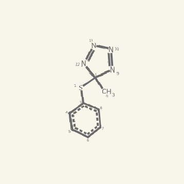 CC1(Sc2ccccc2)N=NN=N1